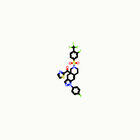 O=C(c1nccs1)C12Cc3cnn(-c4ccc(F)cc4)c3C=C1CCN(S(=O)(=O)c1ccc(C(F)(F)F)c(F)c1)C2